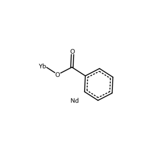 O=C([O][Yb])c1ccccc1.[Nd]